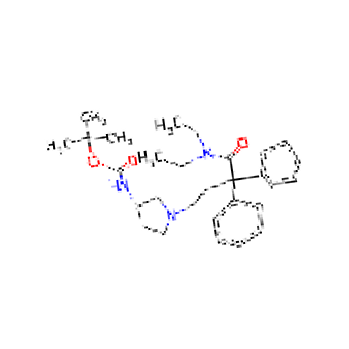 CCN(CC)C(=O)C(CCN1CC[C@H](NC(=O)OC(C)(C)C)C1)(c1ccccc1)c1ccccc1